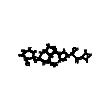 Cc1sc(C(=O)NC2COC2)cc1-n1ncc2cc(Oc3ccccc3Cl)cnc21